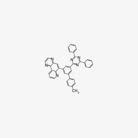 Cc1ccc(-c2cc(-c3nc(-c4ccccc4)nc(-c4ccccc4)n3)cc(-c3cc4nccnc4c4cccnc34)c2)cc1